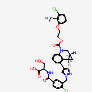 Cc1c(Cl)cccc1OCCOC(=O)N1C[C@@H]2C[C@@H]2c2c(-c3cnn(Cc4cc(C(=O)NC(CO)C(=O)O)ccc4Cl)c3)cccc21